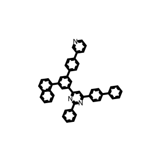 c1ccc(-c2ccc(-c3cc(-c4cc(-c5ccc(-c6cccnc6)cc5)cc(-c5cccc6ccccc56)c4)nc(-c4ccccc4)n3)cc2)cc1